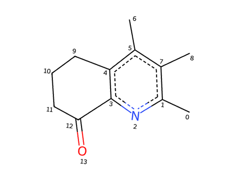 Cc1nc2c(c(C)c1C)CCCC2=O